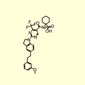 COc1cccc(CCc2ccc3c(c2)CCN3c2ncc(C(=O)NC3(C(=O)O)CCCCC3)c(C(F)(F)F)n2)c1